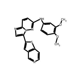 COc1ccc(Nc2ccc3ncc(-c4cc5cnccc5s4)n3n2)cc1OC